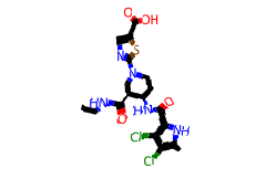 CCNC(=O)[C@H]1CN(c2ncc(C(=O)O)s2)CC[C@H]1NC(=O)c1[nH]c(C)c(Cl)c1Cl